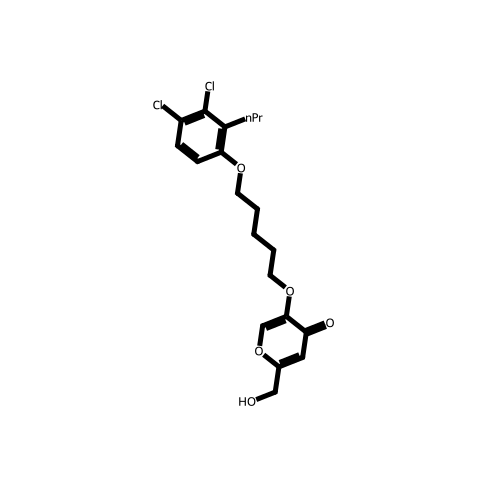 CCCc1c(OCCCCCOc2coc(CO)cc2=O)ccc(Cl)c1Cl